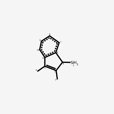 CC1=C(C)C([SiH3])c2ccccc21